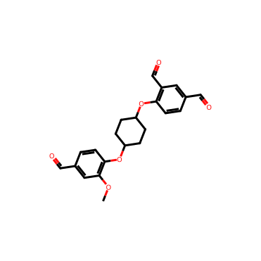 COc1cc(C=O)ccc1OC1CCC(Oc2ccc(C=O)cc2C=O)CC1